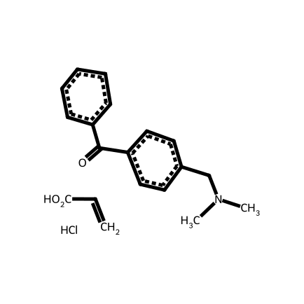 C=CC(=O)O.CN(C)Cc1ccc(C(=O)c2ccccc2)cc1.Cl